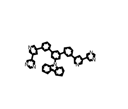 c1cc(-c2cncc(-c3cncnc3)c2)cc(-c2cc(-c3cccc(-c4cncc(-c5cncnc5)c4)c3)cc(-n3c4ccccc4c4ccccc43)c2)c1